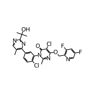 Cc1cnc(C(C)(C)O)nc1-c1ccc(Cl)c(-n2c(C)nc(OCc3ncc(F)cc3F)c(Cl)c2=O)c1